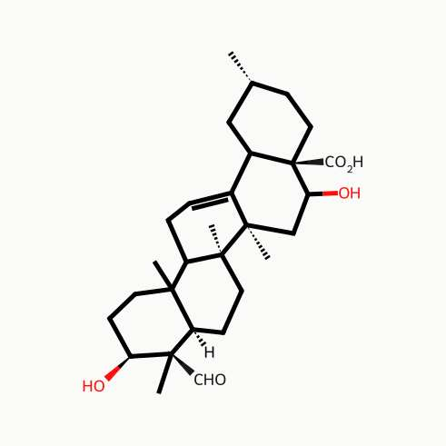 C[C@@H]1CC[C@]2(C(=O)O)C(O)C[C@]3(C)C(=CCC4C5(C)CC[C@H](O)[C@](C)(C=O)[C@@H]5CC[C@@]43C)C2C1